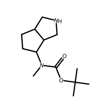 CN(C(=O)OC(C)(C)C)C1CCC2CNCC21